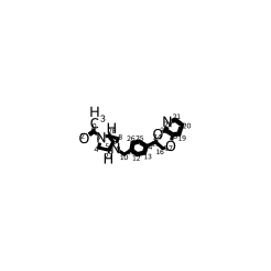 CC(=O)N1C[C@@H]2C[C@H]1CN2Cc1ccc(C2COc3cccnc3O2)cc1